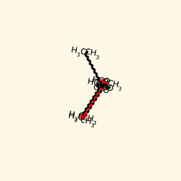 CC(=O)C(C(=O)O)C(OCCCCCCCCCCCCCCC(C)C)(C(=O)O)C(CCCCCCCCCCCCCCC(C)C)(CCCCCCCCCCCCCCC(C)C)C(=O)O